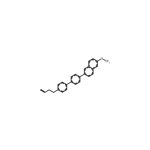 C=CCCc1ccc(-c2ccc(-c3ccc4cc(OC(F)(F)F)ccc4c3)cc2)cc1